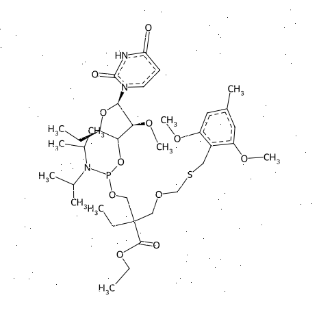 CCOC(=O)C(CC)(COCSCc1c(OC)cc(C)cc1OC)COP(OC1[C@@H](CC)O[C@@H](n2ccc(=O)[nH]c2=O)[C@H]1OC)N(C(C)C)C(C)C